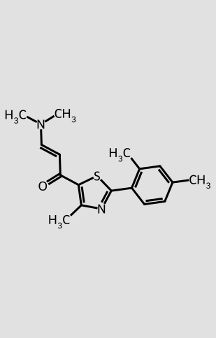 Cc1ccc(-c2nc(C)c(C(=O)C=CN(C)C)s2)c(C)c1